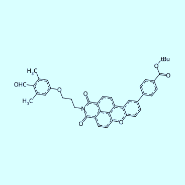 Cc1cc(OCCCn2c(=O)c3ccc4oc5ccc(-c6ccc(C(=O)OC(C)(C)C)cc6)cc5c5ccc(c2=O)c3c45)cc(C)c1C=O